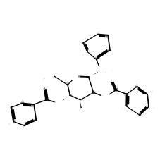 CC1O[C@@H](Sc2ccccc2)C(OC(=O)c2ccccc2)[C@@H](O)[C@H]1OC(=O)c1ccccc1